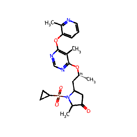 Cc1ncccc1Oc1ncnc(O[C@H](C)CC2CC(=O)C(C)N2S(=O)(=O)C2CC2)c1C